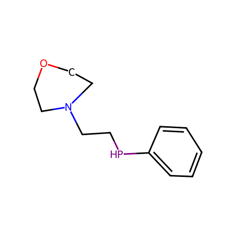 c1ccc(PCCN2CCOCC2)cc1